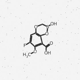 COc1c(F)cc2c(c1C(=O)O)OB(O)CO2